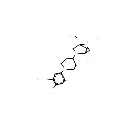 COc1cc(N2CCC(N3C[C@]4(CC(C)C)C[C@H]3CN4C(=O)O)CC2)ccc1[N+](=O)[O-]